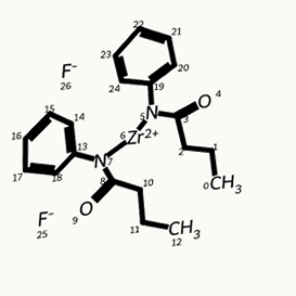 CCCC(=O)[N]([Zr+2][N](C(=O)CCC)c1ccccc1)c1ccccc1.[F-].[F-]